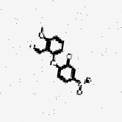 COc1cccc(Oc2ccc([N+](=O)[O-])cc2Cl)c1C=O